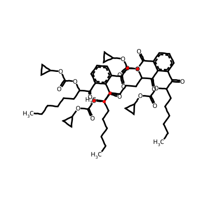 CCCCCCC(OC(=O)OC1CC1)C(=O)c1cccc(C(=O)OOC(=O)c2cccc(C(=O)C(CCCCCC)OC(=O)OC3CC3)c2C(=O)C(CCCCCC)OC(=O)OC2CC2)c1C(=O)C(CCCCCC)OC(=O)OC1CC1